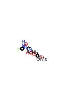 COc1cc(OC[C@H](O)CN2CCC(n3c(=O)[nH]c4cc(F)ccc43)CC2)c(NC(C)=O)cc1Br